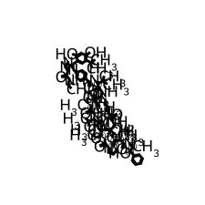 CCNC(=O)c1nnc(-c2cc(C(C)C)c(O)cc2O)n1-c1ccc(C(=O)N[C@H](C(=O)N[C@@H](CCCNC(N)=O)C(=O)N(C)[C@@H](C(=O)N[C@H](C(=O)N(C)C([C@@H](C)CC)[C@@H](CC(=O)N2CCC[C@@H]2[C@@H](OC)[C@@H](C)C(=O)N[C@@H](C)[C@H](O)c2ccccc2)OC)C(C)C)C(C)C)C(C)C)cc1